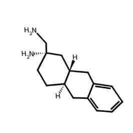 NC[C@]1(N)CC[C@@H]2Cc3ccccc3C[C@H]2C1